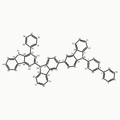 c1ccc(-c2ccc(-n3c4ccccc4c4cc(-c5ccc6c(c5)c5ccccc5n6-c5nc(-c6ccccc6)c6sc7ccccc7c6n5)ccc43)cc2)cc1